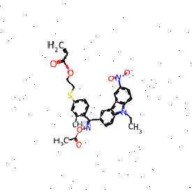 C=CC(=O)OCCSc1ccc(/C(=N\OC(C)=O)c2ccc3c(c2)c2cc([N+](=O)[O-])ccc2n3CC)c(C)c1